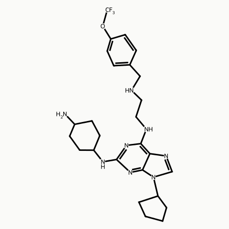 NC1CCC(Nc2nc(NCCNCc3ccc(OC(F)(F)F)cc3)c3ncn(C4CCCC4)c3n2)CC1